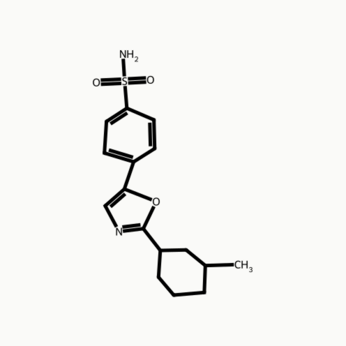 CC1CCCC(c2ncc(-c3ccc(S(N)(=O)=O)cc3)o2)C1